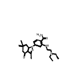 CCN(CC)CCNc1cc(-n2nc(C)c3c2CC(C)(C)CC3=O)ccc1C(N)=O